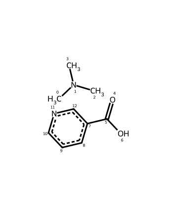 CN(C)C.O=C(O)c1cccnc1